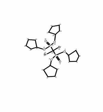 O=P(OC1CCCC1)(OC1CCCC1)C(Br)(Br)P(=O)(OC1CCCC1)OC1CCCC1